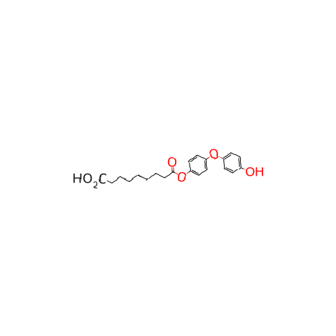 O=C(O)CCCCCCCC(=O)Oc1ccc(Oc2ccc(O)cc2)cc1